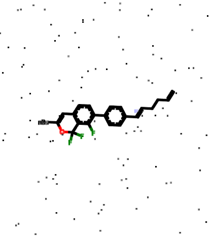 C=CCC/C=C/c1ccc(-c2ccc3c(c2F)C(F)(F)OC(CCCC)=C3)cc1